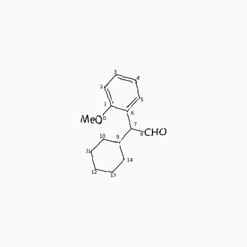 COc1ccccc1C(C=O)C1CCCCC1